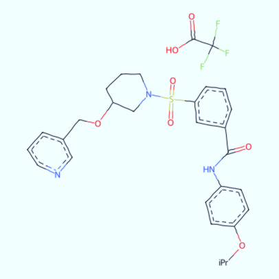 CC(C)Oc1ccc(NC(=O)c2cccc(S(=O)(=O)N3CCCC(OCc4cccnc4)C3)c2)cc1.O=C(O)C(F)(F)F